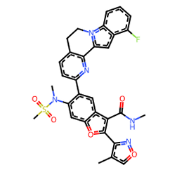 CNC(=O)c1c(-c2nocc2C)oc2cc(N(C)S(C)(=O)=O)c(-c3ccc4c(n3)-c3cc5c(F)cccc5n3CC4)cc12